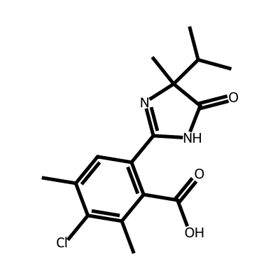 Cc1cc(C2=NC(C)(C(C)C)C(=O)N2)c(C(=O)O)c(C)c1Cl